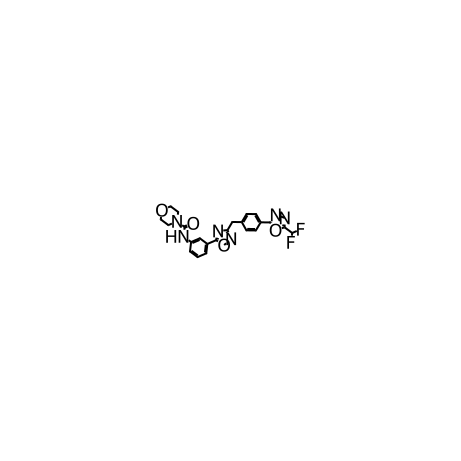 O=C(Nc1cccc(-c2nc(Cc3ccc(-c4nnc(C(F)F)o4)cc3)no2)c1)N1CCOCC1